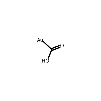 O=[C](O)[Au]